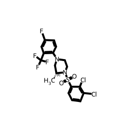 C[C@@H]1CN(c2ccc(F)cc2C(F)(F)F)CCN1S(=O)(=O)c1cccc(Cl)c1Cl